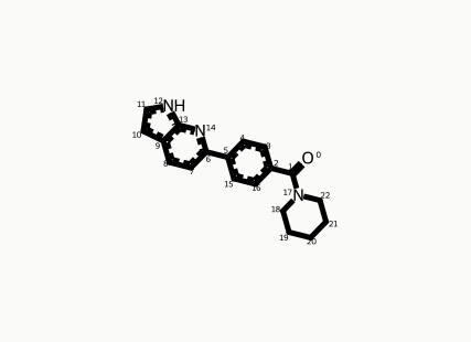 O=C(c1ccc(-c2ccc3cc[nH]c3n2)cc1)N1CCCCC1